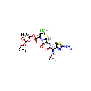 CCOC(=O)OC(C)OC(=O)C1=CCS[C@@H]2C(NC(=O)/C(=N\OC)c3csc(N)n3)C(=O)N12.Cl